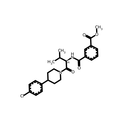 COC(=O)c1cccc(C(=O)N[C@@H](C(=O)N2CCC(c3ccc(Cl)cc3)CC2)C(C)C)c1